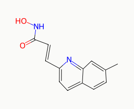 Cc1ccc2ccc(C=CC(=O)NO)nc2c1